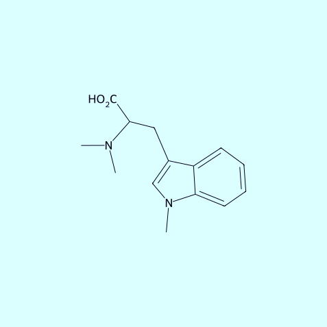 CN(C)C(Cc1cn(C)c2ccccc12)C(=O)O